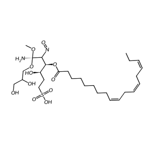 CC/C=C\C/C=C\C/C=C\CCCCCCCC(=O)O[C@H](C(N=O)[C@](N)(OC)OCC(O)CO)[C@H](O)CCS(=O)(=O)O